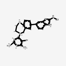 CCNc1nc2cc(-c3ccc4c(c3)CN(c3nc(N)nc(C)c3C(C)C)CCO4)ccc2[nH]1